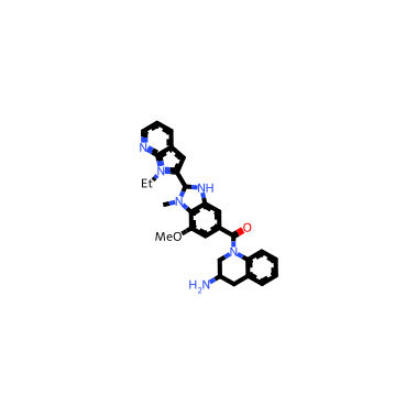 CCn1c(C2Nc3cc(C(=O)N4CC(N)Cc5ccccc54)cc(OC)c3N2C)cc2cccnc21